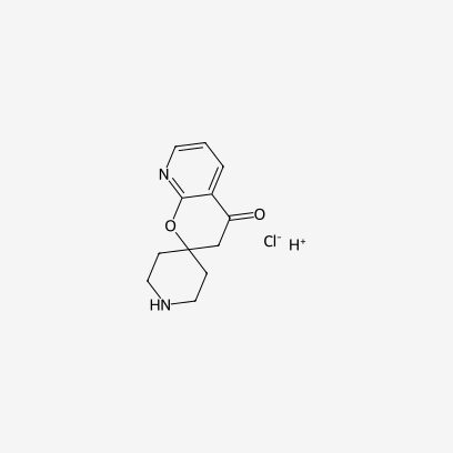 O=C1CC2(CCNCC2)Oc2ncccc21.[Cl-].[H+]